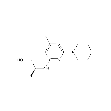 C[C@@H](CO)Nc1cc(I)cc(N2CCOCC2)n1